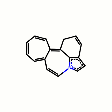 C1=CC=C2C=Cn3ccc4c3C(=C2C=C1)CC=C4